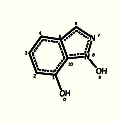 Oc1cccc2cnn(O)c12